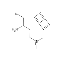 C[SiH](C)CCC(N)CO.c1cc2ccc1-2